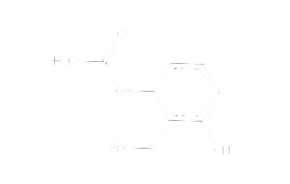 CC(=O)Oc1cccc(C)c1CBr